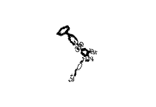 C[Si](C)(C)CCOCn1cnc2c(Br)cc(S(=O)(=O)N3CCC(c4ccccc4)CC3)cc21